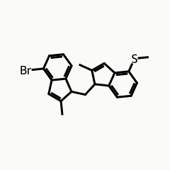 CSc1cccc2c1C=C(C)C2CC1C(C)=Cc2c(Br)cccc21